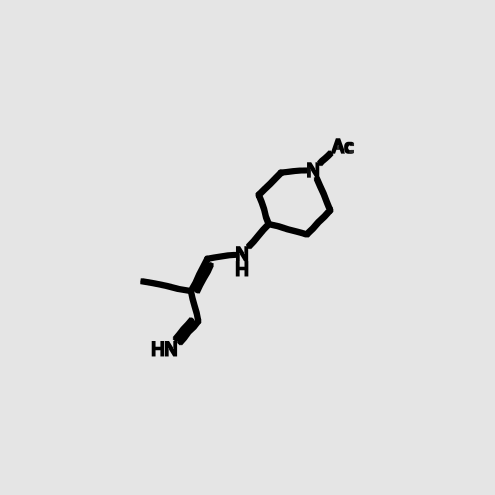 CC(=O)N1CCC(N/C=C(/C)C=N)CC1